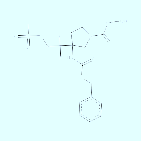 CC(C)(C)OC(=O)N1CCC(NC(=O)OCc2ccccc2)(C(F)(F)COS(C)(=O)=O)C1